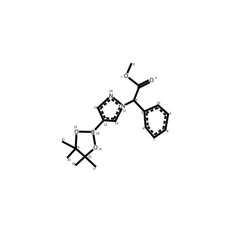 COC(=O)C(c1ccccc1)n1cc(B2OC(C)(C)C(C)(C)O2)cn1